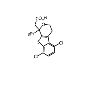 CCCC1(CC(=O)O)OCCc2c1sc1c(Cl)ccc(Cl)c21